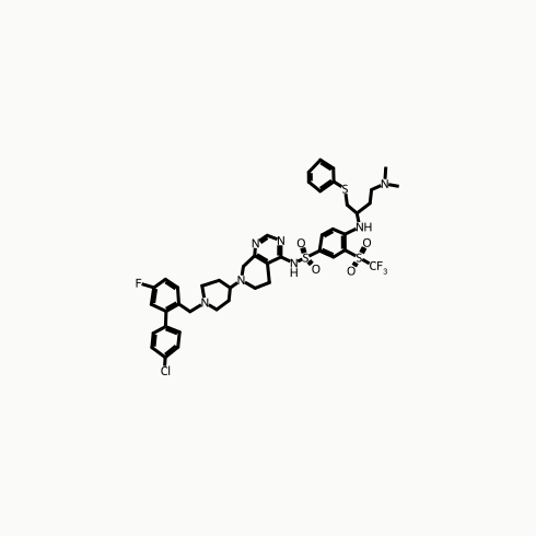 CN(C)CCC(CSc1ccccc1)Nc1ccc(S(=O)(=O)Nc2ncnc3c2CCN(C2CCN(Cc4ccc(F)cc4-c4ccc(Cl)cc4)CC2)C3)cc1S(=O)(=O)C(F)(F)F